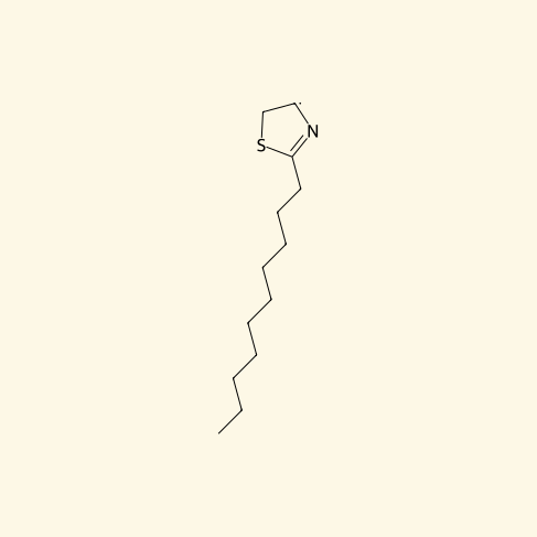 CCCCCCCCCCC1=N[CH]CS1